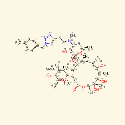 CC[C@H]1OC(=O)[C@H](C)[C@@H](C2C[C@@](C)(OC)[C@@H](O)[C@H](C)O2)[C@H](C)[C@@H](O[C@@H]2O[C@H](C)C[C@H](N(C)CCc3cn(Cc4ccc(C(F)(F)F)cc4)nn3)[C@H]2O)[C@](C)(OC)C[C@@H](C)C(=O)[C@H](C)[C@@H](O)[C@]1(C)O